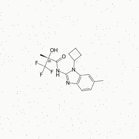 Cc1ccc2nc(NC(=O)[C@@](C)(O)C(F)(F)F)n(C3CCC3)c2c1